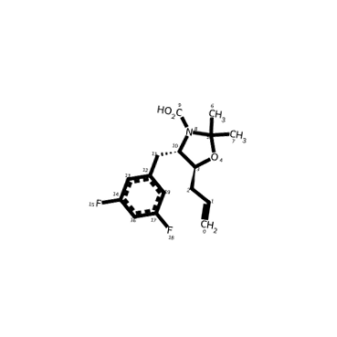 C=CC[C@@H]1OC(C)(C)N(C(=O)O)[C@H]1Cc1cc(F)cc(F)c1